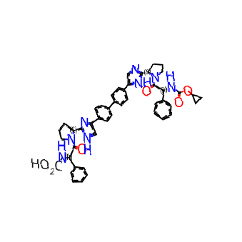 O=C(O)N[C@@H](C(=O)N1CCC[C@H]1c1nc(-c2ccc(-c3ccc(-c4cnc([C@@H]5CCCN5C(=O)[C@H](NC(=O)OC5CC5)c5ccccc5)[nH]4)cc3)cc2)c[nH]1)c1ccccc1